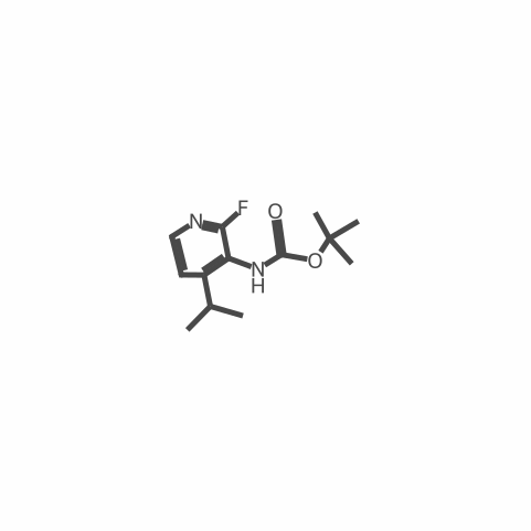 CC(C)c1ccnc(F)c1NC(=O)OC(C)(C)C